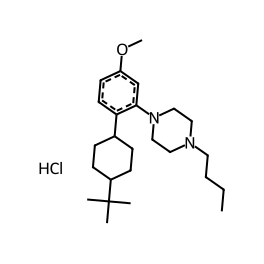 CCCCN1CCN(c2cc(OC)ccc2C2CCC(C(C)(C)C)CC2)CC1.Cl